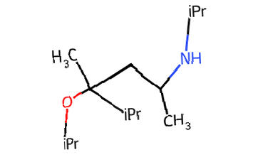 CC(C)NC(C)CC(C)(OC(C)C)C(C)C